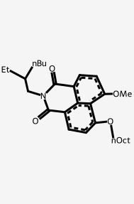 CCCCCCCCOc1ccc2c3c(ccc(OC)c13)C(=O)N(CC(CC)CCCC)C2=O